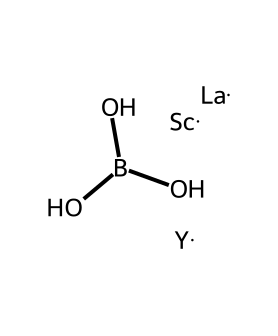 OB(O)O.[La].[Sc].[Y]